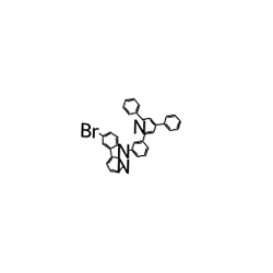 Brc1ccc2c(c1)c1cccnc1n2-c1cccc(-c2cc(-c3ccccc3)cc(-c3ccccc3)n2)c1